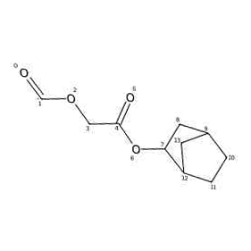 O=[C]OCC(=O)OC1CC2CCC1C2